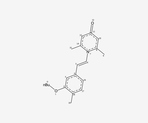 CCCCOc1cc(/C=C/n2c(C)cc(=O)cc2C)ccc1C